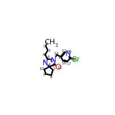 CCCCC1=NC2(CCCC2)C(=O)N1Cc1ccc(Br)nc1